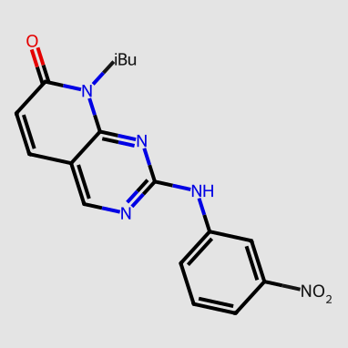 CCC(C)n1c(=O)ccc2cnc(Nc3cccc([N+](=O)[O-])c3)nc21